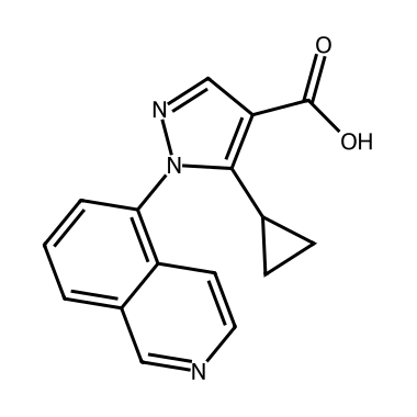 O=C(O)c1cnn(-c2cccc3cnccc23)c1C1CC1